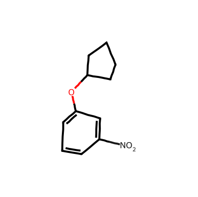 O=[N+]([O-])c1cccc(OC2CCCC2)c1